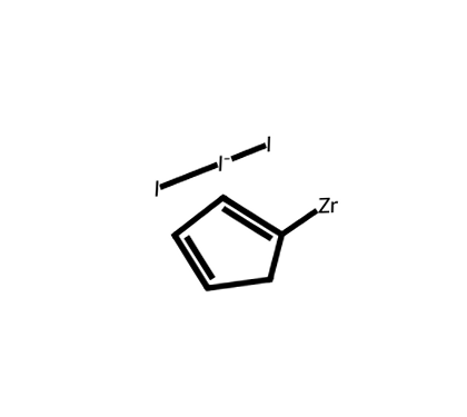 I[I-]I.[Zr][C]1=CC=CC1